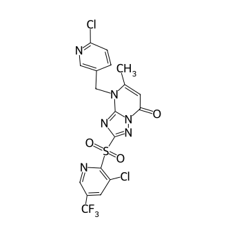 Cc1cc(=O)n2nc(S(=O)(=O)c3ncc(C(F)(F)F)cc3Cl)nc2n1Cc1ccc(Cl)nc1